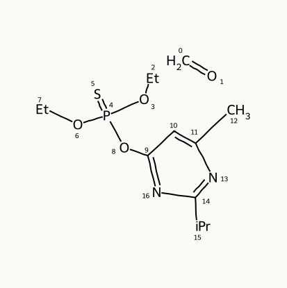 C=O.CCOP(=S)(OCC)Oc1cc(C)nc(C(C)C)n1